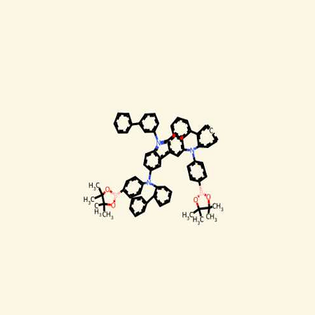 CC1(C)OB(c2ccc(N(c3ccc4c(c3)c3cc(N(c5ccc(B6OC(C)(C)C(C)(C)O6)cc5)c5ccccc5-c5ccccc5)ccc3n4-c3cccc(-c4ccccc4)c3)c3ccccc3-c3ccccc3)cc2)OC1(C)C